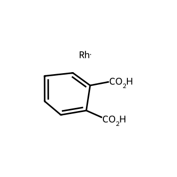 O=C(O)c1ccccc1C(=O)O.[Rh]